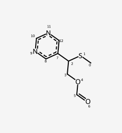 CSC(COC=O)c1cncnc1